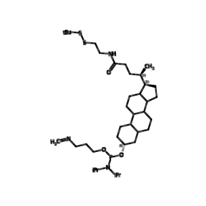 C=NCCCOP(O[C@@H]1CCC2C(CCC3C2CCC2C3CC[C@@H]2[C@H](C)CCC(=O)NCCSSC(C)(C)C)C1)N(C(C)C)C(C)C